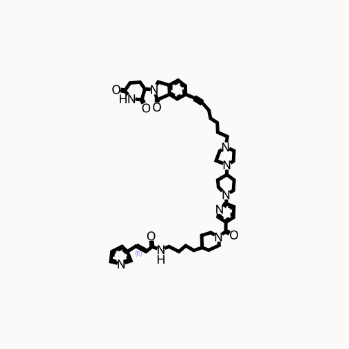 O=C(/C=C/c1cccnc1)NCCCCC1CCN(C(=O)c2ccc(N3CCC(N4CCN(CCCCCC#Cc5ccc6c(c5)C(=O)N(C5CCC(=O)NC5=O)C6)CC4)CC3)nc2)CC1